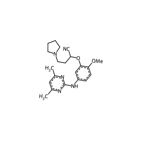 COc1ccc(Nc2nc(C)cc(C)n2)cc1OC(C#N)CCN1CCCC1